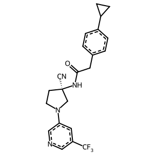 N#C[C@@]1(NC(=O)Cc2ccc(C3CC3)cc2)CCN(c2cncc(C(F)(F)F)c2)C1